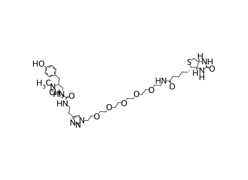 CN(C)C(CNC(=O)NCCc1cn(CCOCCOCCOCCOCCOCCNC(=O)CCCC[C@@H]2SC[C@@H]3NC(=O)N[C@@H]32)nn1)Cc1ccc(O)cc1